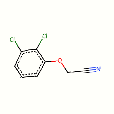 N#CCOc1c[c]cc(Cl)c1Cl